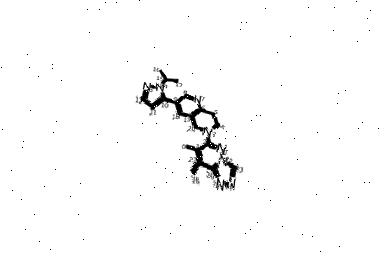 Cc1c(N2CCc3ncc(-c4ccnn4C(C)C)cc3C2)nn2cnnc2c1C